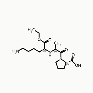 CCOC(=O)[C@H](CCCCN)N[C@@H](C)C(=O)N1CCC[C@H]1C(=O)O